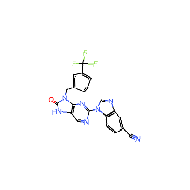 N#Cc1ccc2c(c1)ncn2-c1ncc2[nH]c(=O)n(Cc3cccc(C(F)(F)F)c3)c2n1